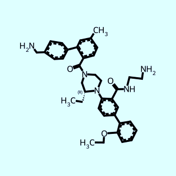 CCOc1ccccc1-c1ccc(N2CCN(C(=O)c3ccc(C)cc3-c3ccc(CN)cc3)C[C@H]2CC)c(C(=O)NCCN)c1